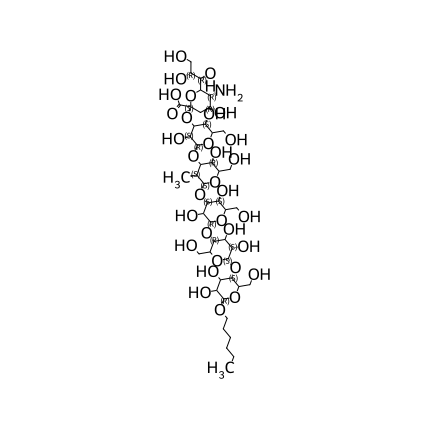 CCCCCCO[C@@H]1OC(CO)[C@@H](O[C@@H]2OC(CO)[C@H](O[C@H]3OC(CO)[C@H](O)[C@H](O[C@@H]4OC(CO)[C@H](O)C(O[C@@H]5OC(CO)[C@H](O)C(O[C@]6(C(=O)O)C[C@@H](O)[C@@H](N)C([C@H](O)[C@H](O)CO)O6)[C@@H]5O)[C@@H]4C)C3O)C(O)[C@@H]2O)C(O)C1O